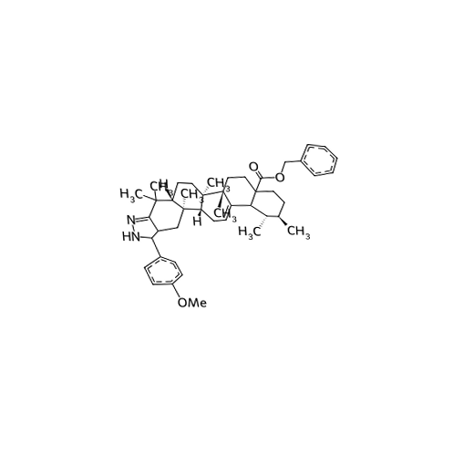 COc1ccc(C2NN=C3C2C[C@]2(C)[C@H]4CC=C5C6[C@@H](C)[C@H](C)CCC6(C(=O)OCc6ccccc6)CC[C@@]5(C)[C@]4(C)CC[C@H]2C3(C)C)cc1